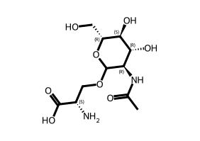 CC(=O)N[C@H]1C(OC[C@H](N)C(=O)O)O[C@H](CO)[C@@H](O)[C@@H]1O